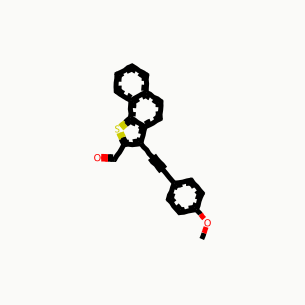 COc1ccc(C#Cc2c(C=O)sc3c2ccc2ccccc23)cc1